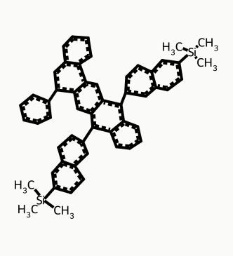 C[Si](C)(C)c1ccc2cc(-c3c4ccccc4c(-c4ccc5cc([Si](C)(C)C)ccc5c4)c4cc5c(cc34)c(-c3ccccc3)cc3ccccc35)ccc2c1